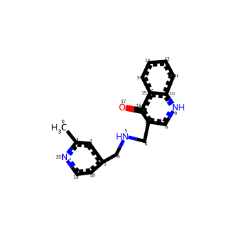 Cc1cc(CNCc2c[nH]c3ccccc3c2=O)ccn1